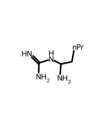 CCCCC(N)NC(=N)N